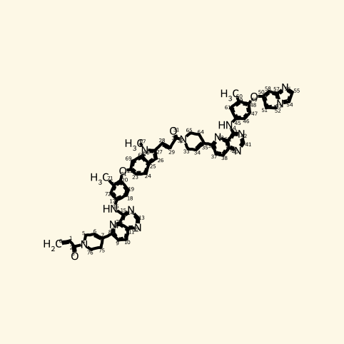 C=CC(=O)N1CC=C(c2ccc3ncnc(Nc4ccc(Oc5ccc6cc(C=CC(=O)N7CC=C(c8ccc9ncnc(Nc%10ccc(Oc%11ccn%12ccnc%12c%11)c(C)c%10)c9n8)CC7)n(C)c6c5)c(C)c4)c3n2)CC1